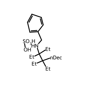 CCCCCCCCCCC(CC)(CC)C(CC)(CC)NCc1ccccc1.O=S(=O)(O)O